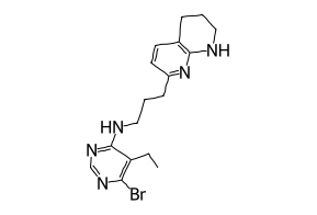 CCc1c(Br)ncnc1NCCCc1ccc2c(n1)NCCC2